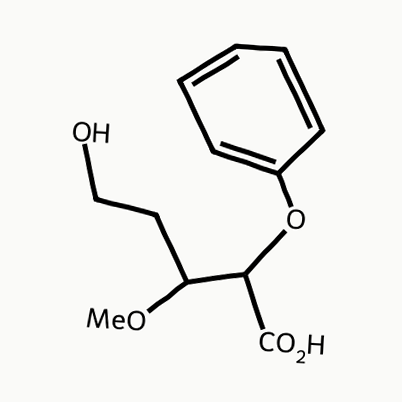 COC(CCO)C(Oc1ccccc1)C(=O)O